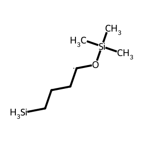 C[Si](C)(C)O[CH]CCC[SiH3]